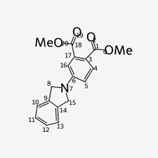 COC(=O)c1ccc(N2Cc3ccccc3C2)cc1C(=O)OC